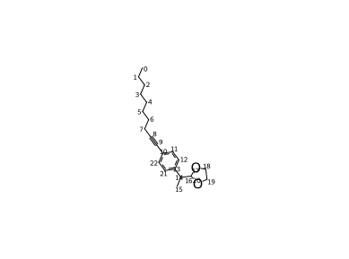 CCCCCCCCC#Cc1ccc(C(C)C2OCCO2)cc1